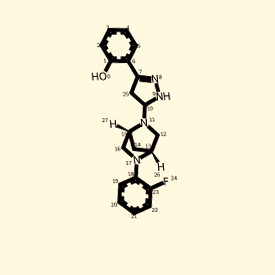 Oc1ccccc1C1=NNC(N2C[C@H]3C[C@@H]2CN3c2ccccc2F)C1